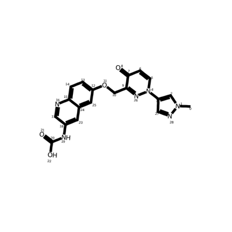 Cn1cc(-n2ccc(=O)c(COc3ccc4ncc(NC(=O)O)cc4c3)n2)cn1